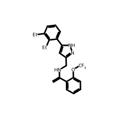 C=C(NCc1cc(-c2cccc(CC)c2CC)[nH]n1)c1ccccc1OC(F)(F)F